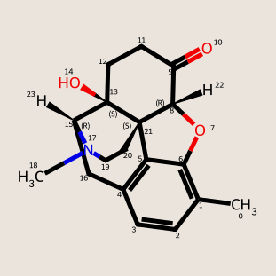 Cc1ccc2c3c1O[C@H]1C(=O)CC[C@@]4(O)[C@@H](C2)N(C)CC[C@]314